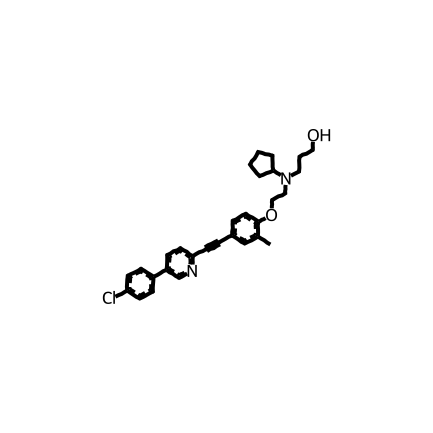 Cc1cc(C#Cc2ccc(-c3ccc(Cl)cc3)cn2)ccc1OCCN(CCCO)C1CCCC1